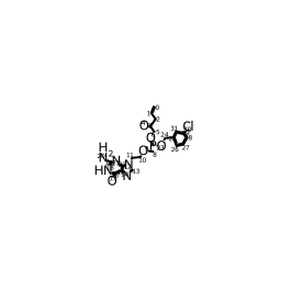 C=CCC(=O)COP(COCCn1cnc2c(=O)[nH]c(N)nc21)OCc1cccc(Cl)c1